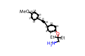 CCC(CC)(CN)Oc1ccc(C#Cc2ccc(OC)cc2)cc1